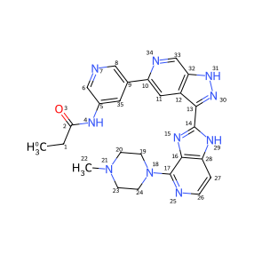 CCC(=O)Nc1cncc(-c2cc3c(-c4nc5c(N6CCN(C)CC6)nccc5[nH]4)n[nH]c3cn2)c1